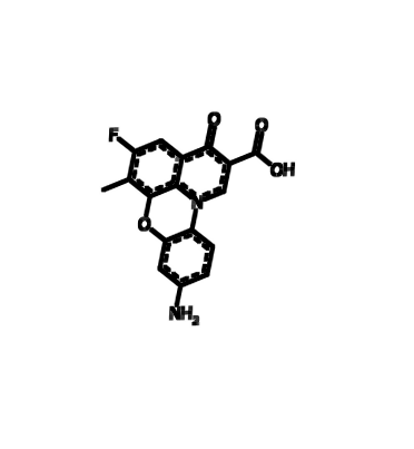 Cc1c(F)cc2c(=O)c(C(=O)O)cn3c2c1Oc1cc(N)ccc1-3